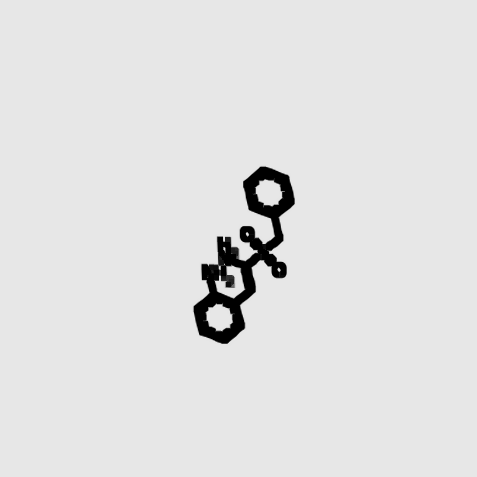 NC(=Cc1ccccc1N)S(=O)(=O)Cc1ccccc1